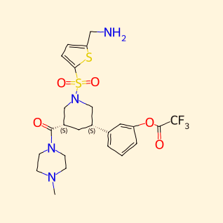 CN1CCN(C(=O)[C@H]2C[C@@H](c3cccc(OC(=O)C(F)(F)F)c3)CN(S(=O)(=O)c3ccc(CN)s3)C2)CC1